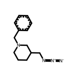 [N-]=[N+]=NCC1CCCN(Cc2ccccc2)C1